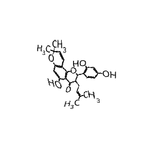 CC(C)=CCC1C(=O)c2c(O)cc3c(c2OC1c1ccc(O)cc1O)C=CC(C)(C)O3